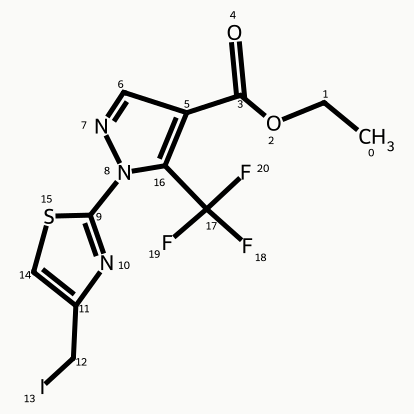 CCOC(=O)c1cnn(-c2nc(CI)cs2)c1C(F)(F)F